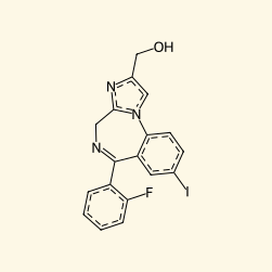 OCc1cn2c(n1)CN=C(c1ccccc1F)c1cc(I)ccc1-2